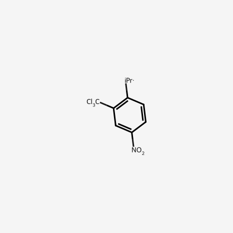 C[C](C)c1ccc([N+](=O)[O-])cc1C(Cl)(Cl)Cl